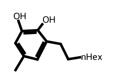 CCCCCCCCc1cc(C)cc(O)c1O